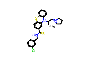 CC(CN1CCCC1)N1c2ccccc2Sc2ccc(C(=S)NCc3cccc(Cl)c3)cc21